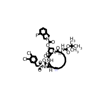 CC(C)(C)OC(=O)N[C@H]1CCCCC/C=C\[C@@H]2C[C@@]2(C(=O)NS(=O)(=O)Cc2ccc(Cl)c(Cl)c2)NC(=O)[C@@H]2C[C@@H](OC(=O)N3Cc4cccc(F)c4C3)CN2C1=O